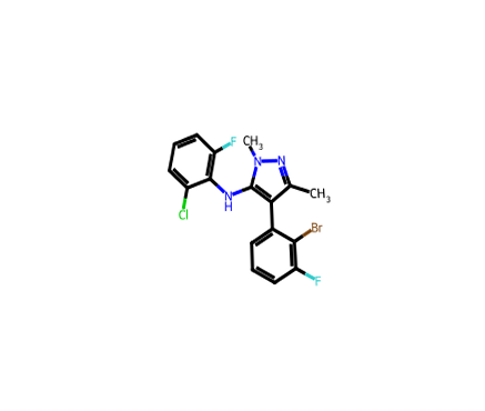 Cc1nn(C)c(Nc2c(F)cccc2Cl)c1-c1cccc(F)c1Br